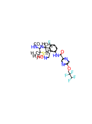 CC1(C)C(NC(=O)O)=N[C@](C)(c2cc(NC(=O)c3cnc(OCC(F)(F)C(F)F)cn3)ccc2F)[C@@H]2CC=NS21O